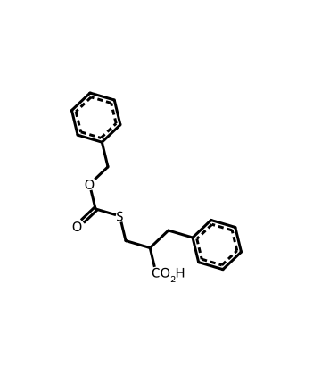 O=C(OCc1ccccc1)SCC(Cc1ccccc1)C(=O)O